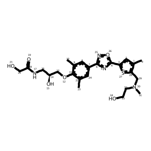 Cc1cc(-c2nc(-c3cc(C)c(OC[C@@H](O)CNC(=O)CO)c(C)c3)no2)sc1CN(C)CCO